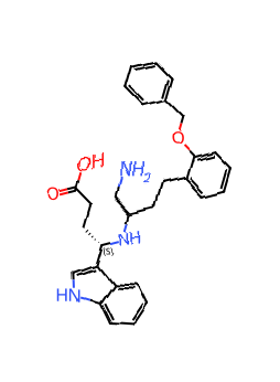 NCC(CCc1ccccc1OCc1ccccc1)N[C@@H](CCC(=O)O)c1c[nH]c2ccccc12